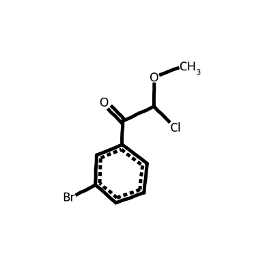 COC(Cl)C(=O)c1cccc(Br)c1